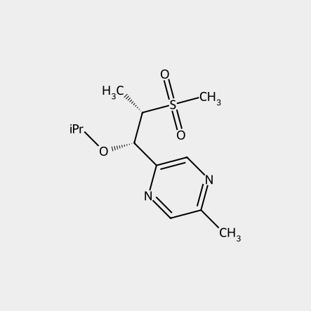 Cc1cnc([C@H](OC(C)C)[C@H](C)S(C)(=O)=O)cn1